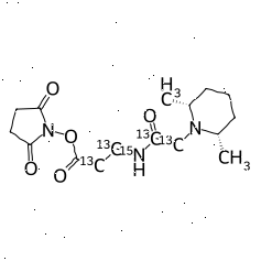 C[C@@H]1CCC[C@H](C)N1[13CH2][13C](=O)[15NH][13CH2][13CH2]C(=O)ON1C(=O)CCC1=O